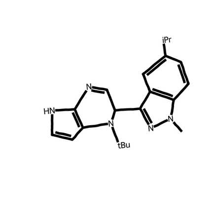 CC(C)c1ccc2c(c1)c(C1C=Nc3[nH]ccc3N1C(C)(C)C)nn2C